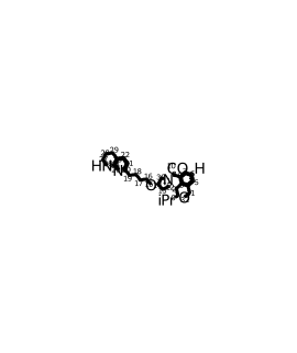 CC(C)C1Cc2c(cccc2[C@H](C(=O)O)N2CC[C@@H](OCCCCc3ccc4c(n3)NCCC4)C2)CO1